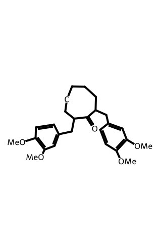 COc1ccc(CC2CCCCCC(Cc3ccc(OC)c(OC)c3)C2=O)cc1OC